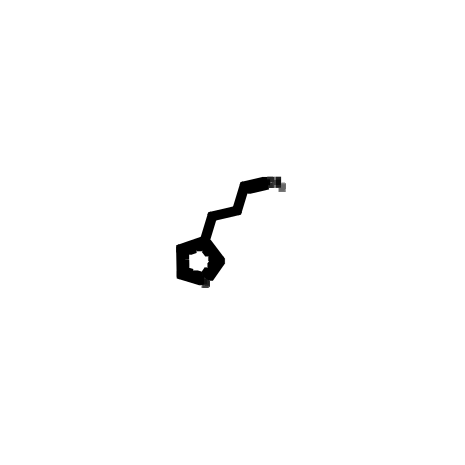 C=CCCc1ccsc1